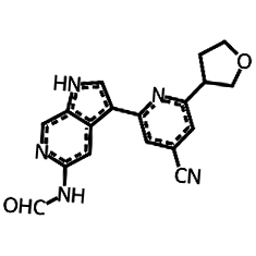 N#Cc1cc(-c2c[nH]c3cnc(NC=O)cc23)nc(C2CCOC2)c1